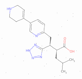 CC(C)C[C@H](C(=O)O)[C@H](Cc1ccc(C2=CCNCC2)cn1)c1nn[nH]n1